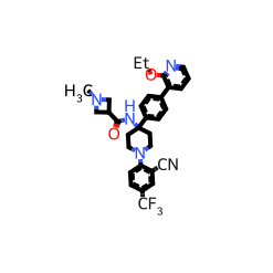 CCOc1ncccc1-c1ccc(C2(NC(=O)C3CN(C)C3)CCN(c3ccc(C(F)(F)F)cc3C#N)CC2)cc1